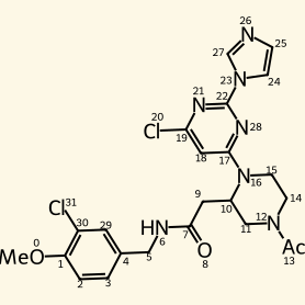 COc1ccc(CNC(=O)CC2CN(C(C)=O)CCN2c2cc(Cl)nc(-n3ccnc3)n2)cc1Cl